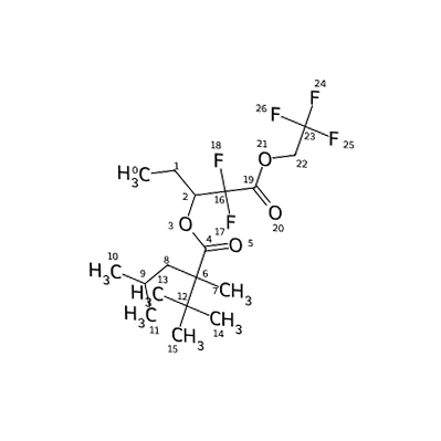 CCC(OC(=O)C(C)(CC(C)C)C(C)(C)C)C(F)(F)C(=O)OCC(F)(F)F